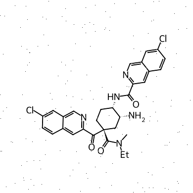 CCN(C)C(=O)[C@@]1(C(=O)c2cc3ccc(Cl)cc3cn2)CC[C@H](NC(=O)c2cc3ccc(Cl)cc3cn2)[C@H](N)C1